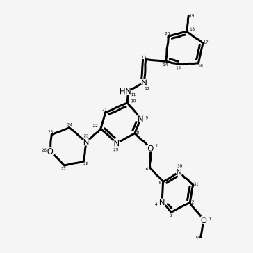 COc1cnc(COc2nc(NN=Cc3cccc(C)c3)cc(N3CCOCC3)n2)nc1